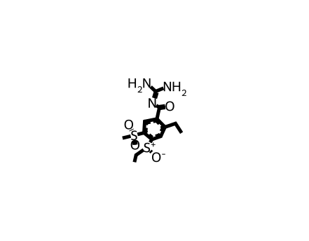 CCc1cc([S+]([O-])CC)c(S(C)(=O)=O)cc1C(=O)N=C(N)N